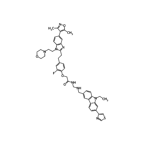 CCn1c2ccc(CNCNC(=O)COc3ccc(CCc4nc5cc(-c6c(C)noc6C)ccc5n4CCN4CCOCC4)cc3F)cc2c2ccc(-c3cscn3)cc21